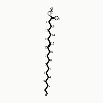 CCCCCCCCCCCC=CCCCCCC(=O)OC